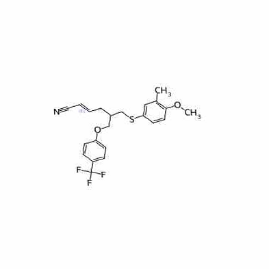 COc1ccc(SCC(C/C=C/C#N)COc2ccc(C(F)(F)F)cc2)cc1C